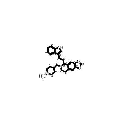 CN1CCC(CN2CCc3cc4c(cc3C2CCc2c[nH]c3ccccc23)OCO4)CC1